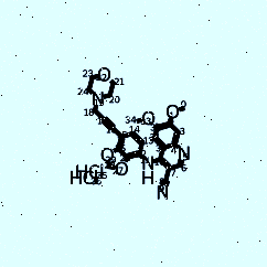 COc1cc2ncc(C#N)c(Nc3ccc(C#CCN4CCOCC4)c4c3OCO4)c2cc1OC.Cl.Cl